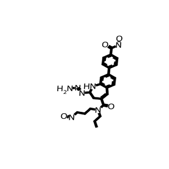 CCCN(CCCN=O)C(=O)C1=Cc2ccc(-c3ccc(C(=O)N=O)cc3)cc2NC(N=NN)C1